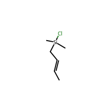 CC=CC[Si](C)(C)Cl